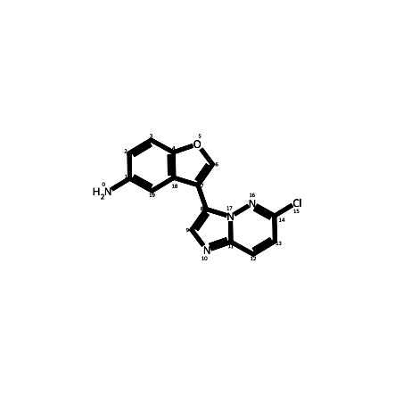 Nc1ccc2occ(-c3cnc4ccc(Cl)nn34)c2c1